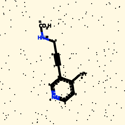 CCCc1ccncc1C#CCNC(=O)O